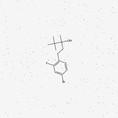 CC(C)(C)[Si](C)(O)CCc1ccc(Br)cc1F